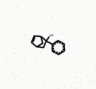 CCCC1(c2ccccc2)CC2C=CC1C2